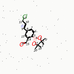 CC1(C)OB(c2ccc(/C=C/CCl)cc2C=O)OC1(C)C